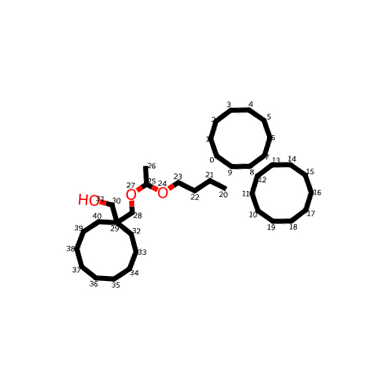 C1CCCCCCCCC1.C1CCCCCCCCC1.CCCCOC(C)OCC1(CO)CCCCCCCCC1